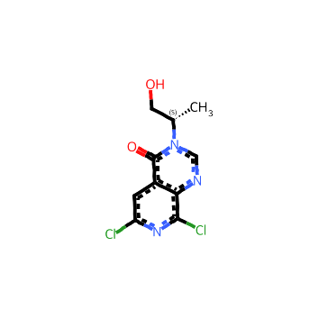 C[C@@H](CO)n1cnc2c(Cl)nc(Cl)cc2c1=O